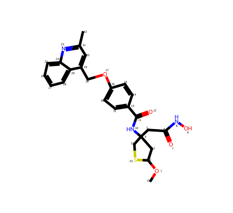 COC1CC(CC(=O)NO)(NC(=O)c2ccc(OCc3cc(C)nc4ccccc34)cc2)CS1